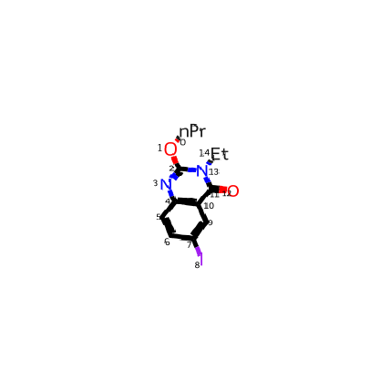 CCCOc1nc2ccc(I)cc2c(=O)n1CC